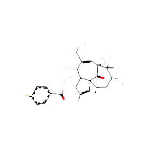 CC1=C[C@]23C(=O)[C@@H](C=C(CO)[C@@H](O)[C@]2(O)[C@H]1OC(=O)c1ccc(F)cc1)C(C)(C)[C@@H](C)C[C@H]3C